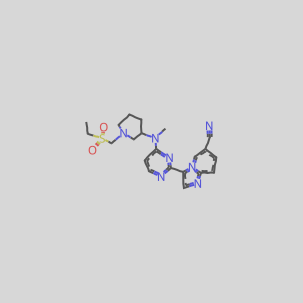 CCS(=O)(=O)CN1CCCC(N(C)c2ccnc(-c3cnc4ccc(C#N)cn34)n2)C1